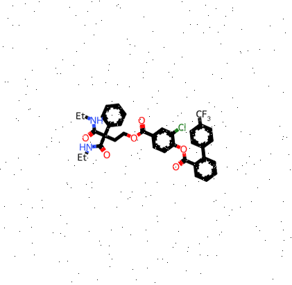 CCNC(=O)C(CCOC(=O)c1ccc(OC(=O)c2ccccc2-c2ccc(C(F)(F)F)cc2)c(Cl)c1)(C(=O)NCC)c1ccccc1